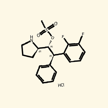 CS(=O)(=O)O[C@H]([C@H](c1ccccc1)c1cccc(F)c1F)[C@H]1CCCN1.Cl